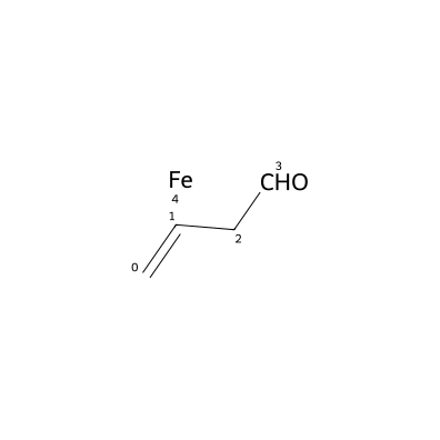 C=CCC=O.[Fe]